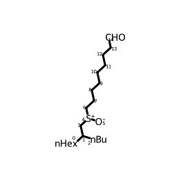 CCCCCCC(CCCC)C[S+]([O-])CCCCCCCCC=O